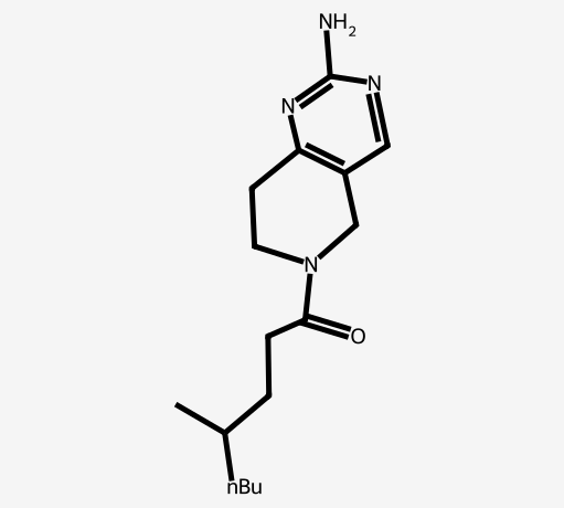 CCCCC(C)CCC(=O)N1CCc2nc(N)ncc2C1